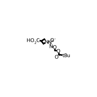 CC(C)(C)C(=O)OCO/N=[N+](\[O-])N1CC(C(=O)O)C1